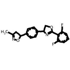 CC1=NOC(c2ccc(C3COC(c4c(F)cccc4F)=N3)cc2)C1